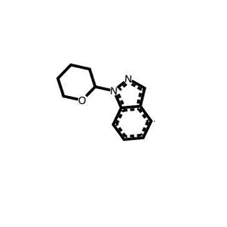 [c]1cccc2c1cnn2C1CCCCO1